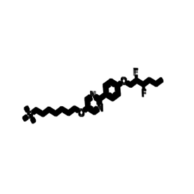 CCC[C@@H](F)[C@H](F)COc1ccc(-c2ncc(OCCCCCCC[Si](C)(C)C)cn2)cc1